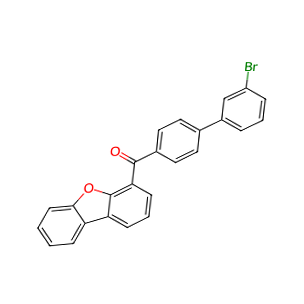 O=C(c1ccc(-c2cccc(Br)c2)cc1)c1cccc2c1oc1ccccc12